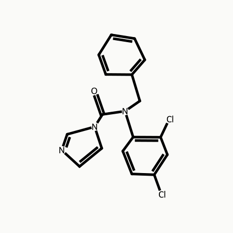 O=C(N(Cc1ccccc1)c1ccc(Cl)cc1Cl)n1ccnc1